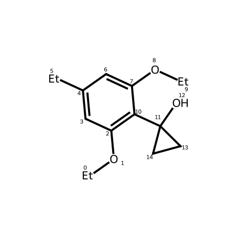 CCOc1cc(CC)cc(OCC)c1C1(O)CC1